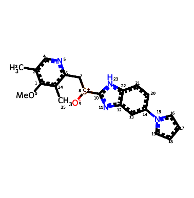 COc1c(C)cnc(C[S+]([O-])c2nc3cc(-n4cccc4)ccc3[nH]2)c1C